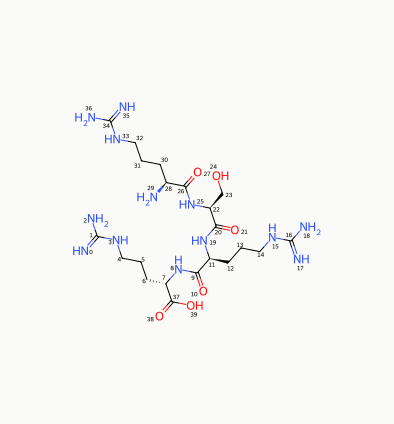 N=C(N)NCCC[C@H](NC(=O)[C@H](CCCNC(=N)N)NC(=O)[C@H](CO)NC(=O)[C@@H](N)CCCNC(=N)N)C(=O)O